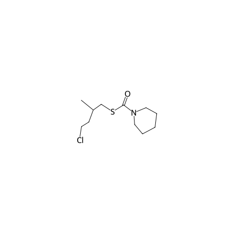 CC(CCCl)CSC(=O)N1CCCCC1